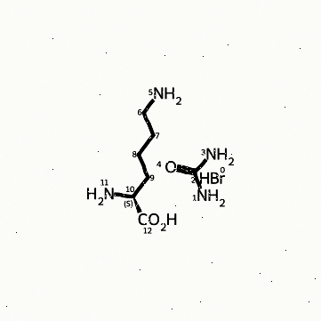 Br.NC(N)=O.NCCCC[C@H](N)C(=O)O